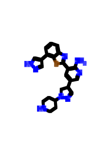 Nc1ncc(C2C=NN(C3CCNCC3)C2)cc1-c1nc2cccc(-c3cn[nH]c3)c2s1